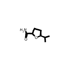 CC(C)C1CCC(C(N)=O)O1